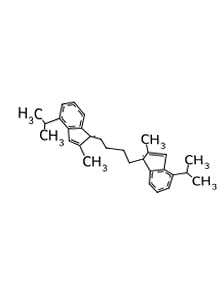 CC1=Cc2c(cccc2C(C)C)[C]1CCCC[C]1C(C)=Cc2c1cccc2C(C)C